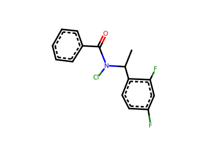 CC(c1ccc(F)cc1F)N(Cl)C(=O)c1ccccc1